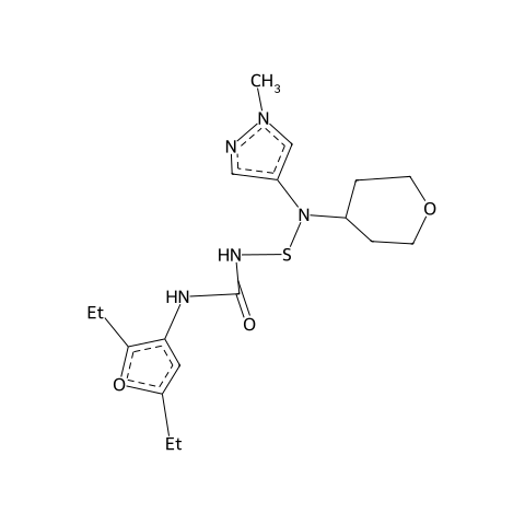 CCc1cc(NC(=O)NSN(c2cnn(C)c2)C2CCOCC2)c(CC)o1